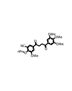 CCCOc1c(C#N)cc(C(=O)CCC(=O)c2cc(OC)c(OC)c(OC)c2)cc1OC